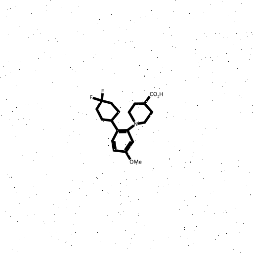 COc1ccc(C2CCC(F)(F)CC2)c(N2CCC(C(=O)O)CC2)c1